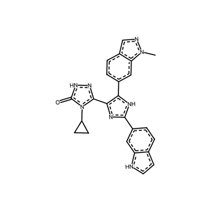 Cn1ncc2ccc(-c3[nH]c(-c4ccc5cc[nH]c5c4)nc3-c3n[nH]c(=O)n3C3CC3)cc21